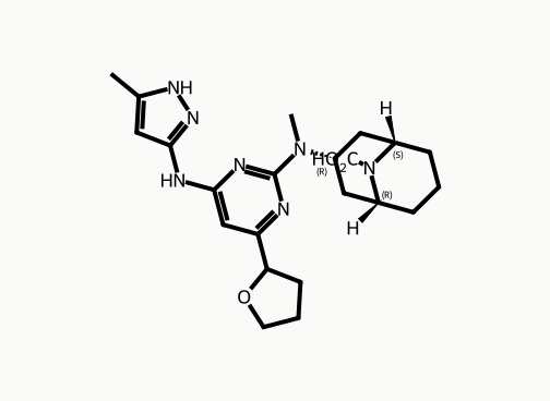 Cc1cc(Nc2cc(C3CCCO3)nc(N(C)[C@H]3C[C@H]4CCC[C@@H](C3)N4C(=O)O)n2)n[nH]1